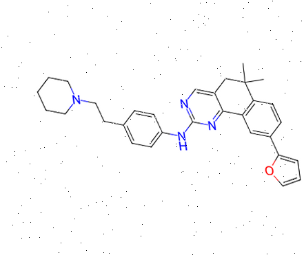 CC1(C)Cc2cnc(Nc3ccc(CCN4CCCCC4)cc3)nc2-c2cc(-c3ccco3)ccc21